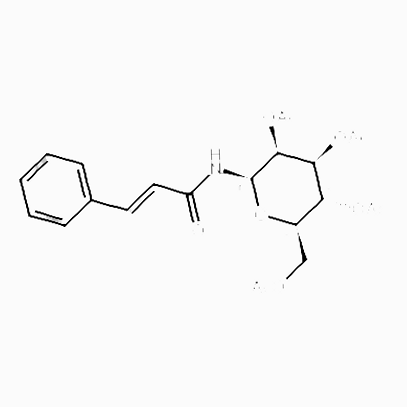 CC(=O)OC[C@H]1O[C@@H](NC(=O)C=Cc2ccccc2)[C@@H](OC(C)=O)[C@@H](OC(C)=O)[C@@H]1OC(C)=O